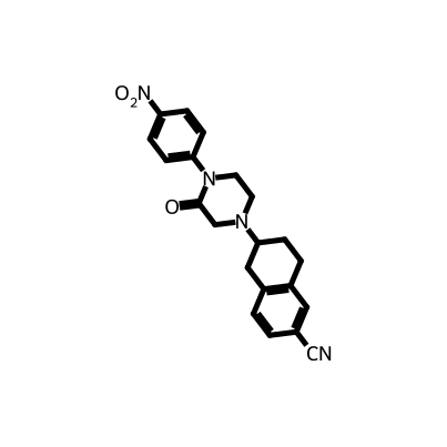 N#Cc1ccc2c(c1)CCC(N1CCN(c3ccc([N+](=O)[O-])cc3)C(=O)C1)C2